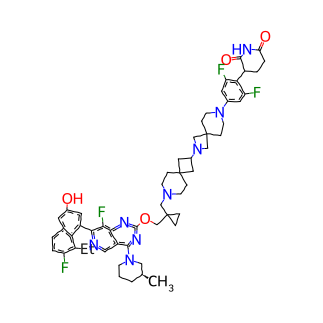 CCc1c(F)ccc2cc(O)cc(-c3ncc4c(N5CCC[C@H](C)C5)nc(OCC5(CN6CCC7(CC6)CC(N6CC8(CCN(c9cc(F)c(C%10CCC(=O)NC%10=O)c(F)c9)CC8)C6)C7)CC5)nc4c3F)c12